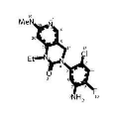 CCN1C(=O)N(c2cc(N)c(F)cc2Cl)Cc2cnc(NC)cc21